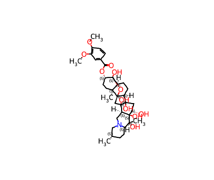 COc1ccc(C(=O)O[C@H]2CC[C@@]3(C)[C@@H]4CC[C@H]5[C@]6(O)C[C@H](O)[C@@]7(O)[C@@H](CN8C[C@@H](C)CC[C@H]8[C@@]7(C)O)[C@]6(O)C[C@@]53O[C@]24O)cc1OC